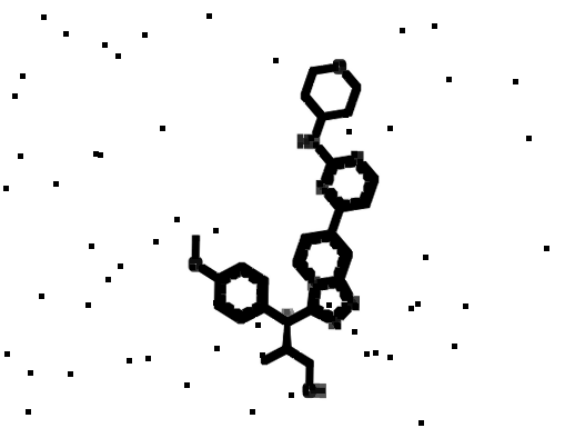 COc1ccc([C@@H](c2nnc3cc(-c4ccnc(NC5CCOCC5)n4)ccn23)C(C)CO)cc1